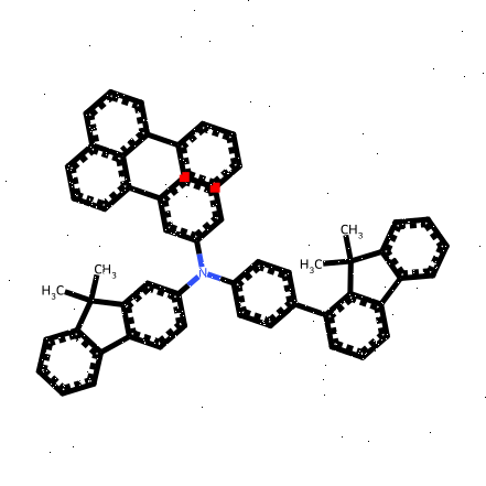 CC1(C)c2ccccc2-c2ccc(N(c3ccc(-c4cccc5c4C(C)(C)c4ccccc4-5)cc3)c3cccc(-c4cccc5cccc(-c6ccccc6)c45)c3)cc21